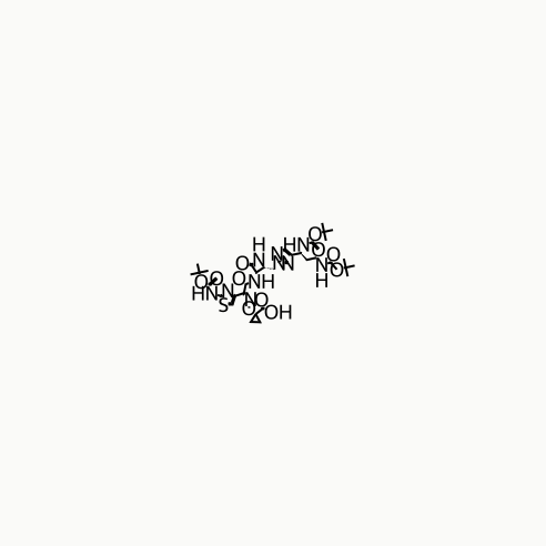 CC(C)(C)OC(=O)NCC[C@H](NC(=O)OC(C)(C)C)c1cnn(C[C@H]2NC(=O)[C@H]2NC(=O)C(=NOC2(C(=O)O)CC2)c2csc(NC(=O)OC(C)(C)C)n2)n1